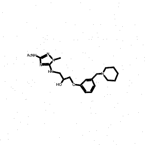 CC(=O)Nc1nc(NCC(O)COc2cccc(CN3CCCCC3)c2)n(C)n1